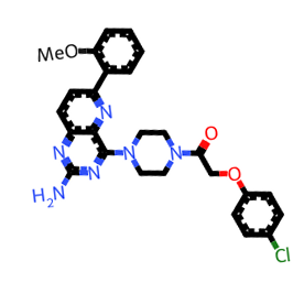 COc1ccccc1-c1ccc2nc(N)nc(N3CCN(C(=O)COc4ccc(Cl)cc4)CC3)c2n1